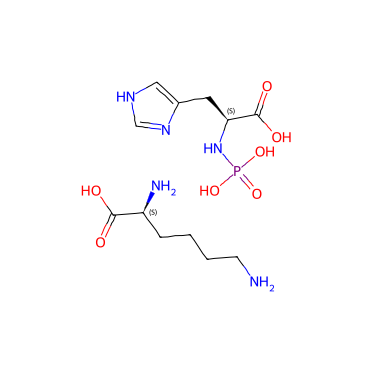 NCCCC[C@H](N)C(=O)O.O=C(O)[C@H](Cc1c[nH]cn1)NP(=O)(O)O